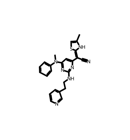 CC1=CSC(=C(C#N)c2cc(N(C)c3ccccc3)nc(NCCc3cccnc3)n2)N1